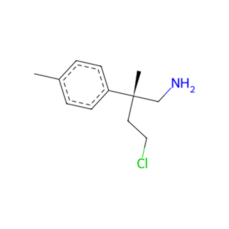 Cc1ccc([C@](C)(CN)CCCl)cc1